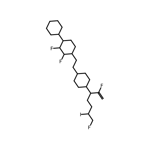 C=C(F)C(CCC(I)CF)C1CCC(CCC2CCC(C3CCCCC3)C(F)C2F)CC1